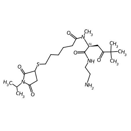 CC(C)N1C(=O)CC(SCCCCCC(=O)N(C)[C@@H](CC(=O)C(C)(C)C)C(=O)NCCN)C1=O